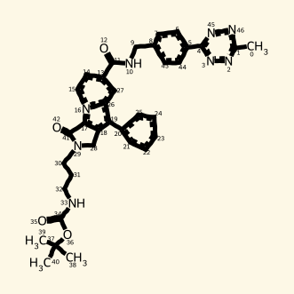 Cc1nnc(-c2ccc(CNC(=O)c3ccn4c5c(c(-c6ccccc6)c4c3)CN(CCCNC(=O)OC(C)(C)C)C5=O)cc2)nn1